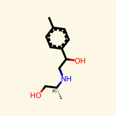 Cc1ccc(C(O)CN[C@H](C)CO)cc1